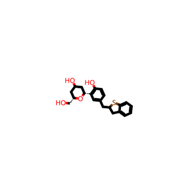 OC[C@@H]1CC(O)C[C@H](c2cc(CC3Cc4ccccc4S3)ccc2O)O1